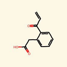 C=CC(=O)c1ccccc1CC(=O)O